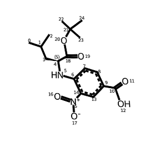 CC(C)C[C@H](Nc1ccc(C(=O)O)cc1[N+](=O)[O-])C(=O)OC(C)(C)C